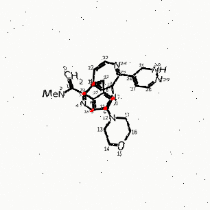 C=C(NC)C1=N/CC/C=C(\C2=C/C(N3CCOCC3)=N\C3C=C(C=CN=C3C3=CC=NNC3)C2)/C=C\1